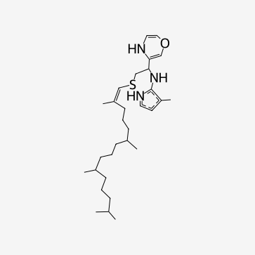 CC(=CSCC(Nc1[nH]ccc1C)C1=COC=CN1)CCCC(C)CCCC(C)CCCC(C)C